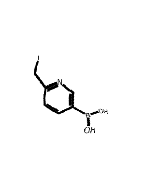 OB(O)c1ccc(CI)nc1